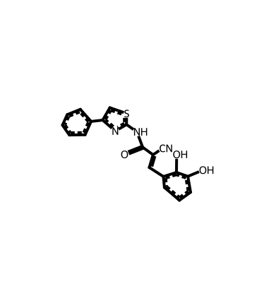 N#C/C(=C\c1cccc(O)c1O)C(=O)Nc1nc(-c2ccccc2)cs1